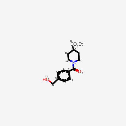 CCOC(=O)C1CCN(C(=O)c2ccc(CO)cc2)CC1